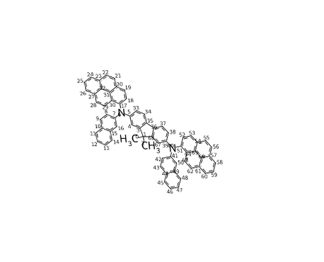 CC1(C)c2cc(N(c3ccc4ccccc4c3)c3ccc4ccc5cccc6ccc3c4c56)ccc2-c2ccc(N(c3ccc4ccccc4c3)c3ccc4ccc5cccc6ccc3c4c56)cc21